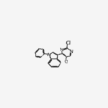 Clc1ncc(Cl)c(-c2cn(-c3ccccc3)c3ccccc23)n1